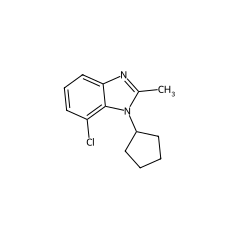 Cc1nc2cccc(Cl)c2n1C1CCCC1